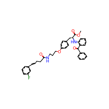 COC(=O)[C@H](Cc1ccc(OCCCNC(=O)CCC=Cc2cccc(F)c2)cc1)Nc1ccccc1C(=O)c1ccccc1